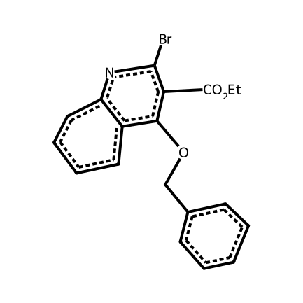 CCOC(=O)c1c(Br)nc2ccccc2c1OCc1ccccc1